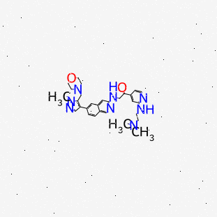 CN(C)CCNc1cc(C(=O)CNc2cc3cc(-c4cnn(C)c4CN4CCOCC4)ccc3cn2)ccn1